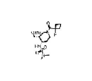 COC[C@@H]1CN(C(=O)C2(F)CCC2)CC[C@@H]1NS(=O)(=O)N(C)C